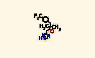 CC(C)(Cc1ccc(C(F)(F)F)cc1)C(=O)Cc1nc[nH]n1